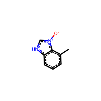 Cc1cccc2[nH]c[n+]([O-])c12